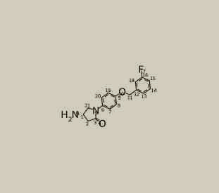 N[C@H]1CC(=O)N(c2ccc(OCc3cccc(F)c3)cc2)C1